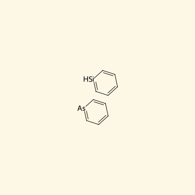 C1=CC=[As]C=C1.c1cc[siH]cc1